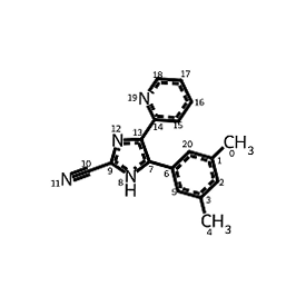 Cc1cc(C)cc(-c2[nH]c(C#N)nc2-c2ccccn2)c1